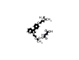 CC(=O)OCCn1nc(-c2ccc(OCCCN(C)C)cc2)c2cccnc21.O=C(O)/C=C/C(=O)O